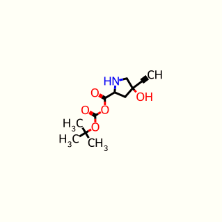 C#CC1(O)CNC(C(=O)OC(=O)OC(C)(C)C)C1